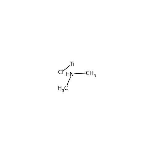 CNC.[Cl][Ti]